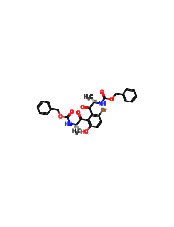 C[C@H](NC(=O)OCc1ccccc1)C(=O)c1c(O)ccc(Br)c1C(=O)[C@H](C)NC(=O)OCc1ccccc1